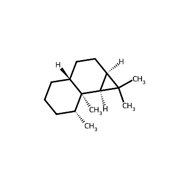 C[C@@H]1CCC[C@@H]2CC[C@@H]3[C@@H](C3(C)C)[C@]21C